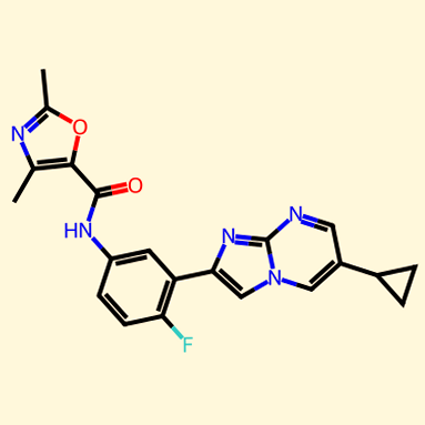 Cc1nc(C)c(C(=O)Nc2ccc(F)c(-c3cn4cc(C5CC5)cnc4n3)c2)o1